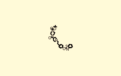 CC(C)(C)OC(=O)N1CCN(C(=O)C2CCN(CCc3ccc(Oc4nc5ccccc5s4)cc3)CC2)CC1